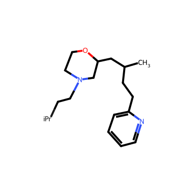 CC(C)CCN1CCOC(CC(C)CCc2ccccn2)C1